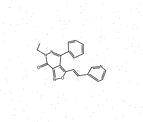 CCn1nc(-c2ccccc2)c2c(/C=C/c3cccnc3)onc2c1=O